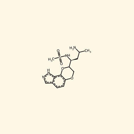 CC(N)C[C@H](NS(C)(=O)=O)C1COc2ccc3cn[nH]c3c2O1